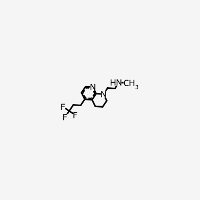 CNCCN1CCCc2c(CCC(F)(F)F)ccnc21